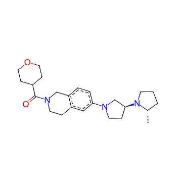 C[C@H]1CCCN1[C@H]1CCN(c2ccc3c(c2)CCN(C(=O)C2CCOCC2)C3)C1